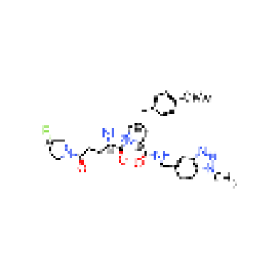 COc1ccc(C[C@@H]2C[C@@H](C(=O)NCc3ccc4c(c3)nnn4C)N(C(=O)[C@H](N)CCC(=O)N3CC[C@H](F)C3)C2)cc1